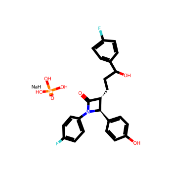 O=C1[C@H](CCC(O)c2ccc(F)cc2)[C@@H](c2ccc(O)cc2)N1c1ccc(F)cc1.O=P(O)(O)O.[NaH]